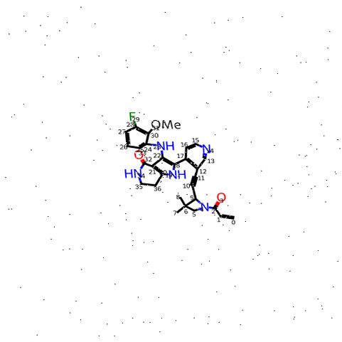 C=CC(=O)N1CC(C)(C)C1C#Cc1cnccc1-c1[nH]c2c(c1Nc1cccc(F)c1OC)C(=O)NCC2